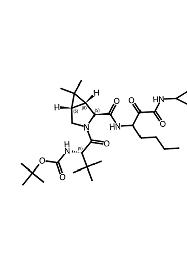 CCCCC(NC(=O)[C@@H]1[C@@H]2[C@H](CN1C(=O)[C@@H](NC(=O)OC(C)(C)C)C(C)(C)C)C2(C)C)C(=O)C(=O)NC1CC1